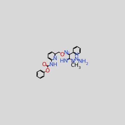 CN(NN)C(=N)/C(=N\OCc1cccc(NC(=O)Oc2ccccc2)n1)c1ccccc1